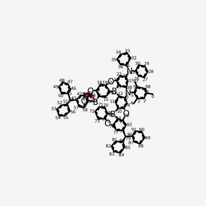 Cc1cc(C)c(N2c3cc4c(cc3B3c5cc6c(cc5Oc5cc(N(c7ccccc7)c7ccccc7)cc2c53)Oc2cc(C(c3ccccc3)c3ccccc3)cc3c2B6c2ccccc2O3)B2c3ccccc3Oc3cc(C(c5ccccc5)c5ccccc5)cc(c32)O4)c(C)c1